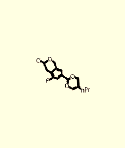 CCCC1COC(c2cc(F)c3c(c2)COC(Cl)C3)OC1